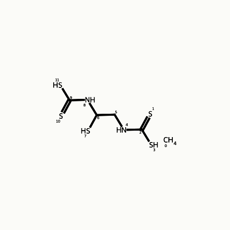 C.S=C(S)NCC(S)NC(=S)S